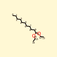 CCCCCCCCCCC(OCC)OCC